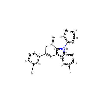 C=Cc1c(/C=C(\C)c2cccc(C)c2)c2cc(C)ccc2n1-c1ccccc1